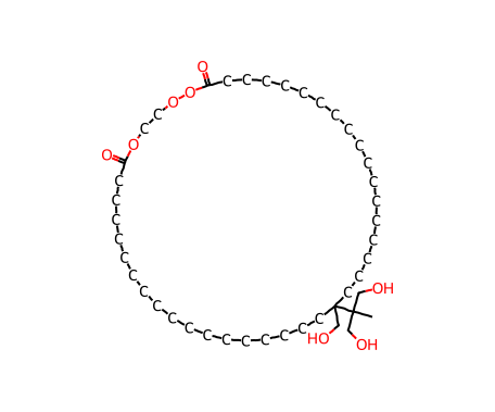 CC(CO)(CO)C1(CO)CCCCCCCCCCCCCCCCCC(=O)OCCOOC(=O)CCCCCCCCCCCCCCCCC1